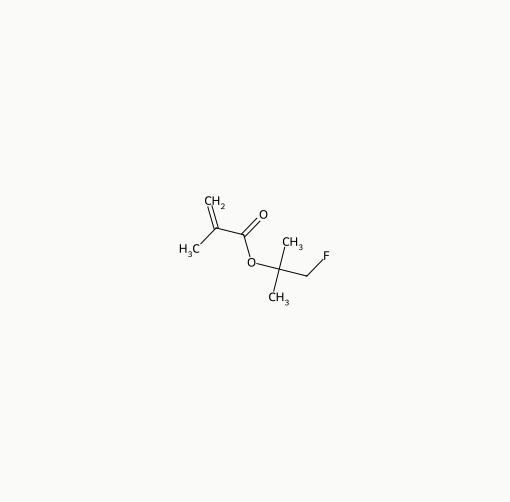 C=C(C)C(=O)OC(C)(C)CF